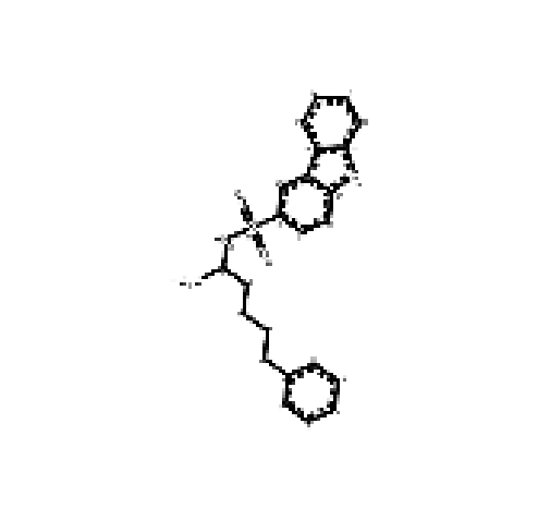 O=C(O)C(CCCCc1ccccc1)NS(=O)(=O)c1ccc2oc3ccccc3c2c1